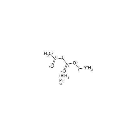 CCOC(=O)CC(C)=O.[AlH3].[Pr]